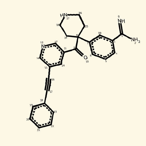 N=C(N)c1cccc(C2(C(=O)c3cncc(C#Cc4ccccc4)c3)CCNCC2)c1